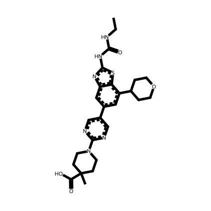 CCNC(=O)Nc1nc2cc(-c3cnc(N4CCC(C)(C(=O)O)CC4)nc3)cc(C3CCOCC3)c2s1